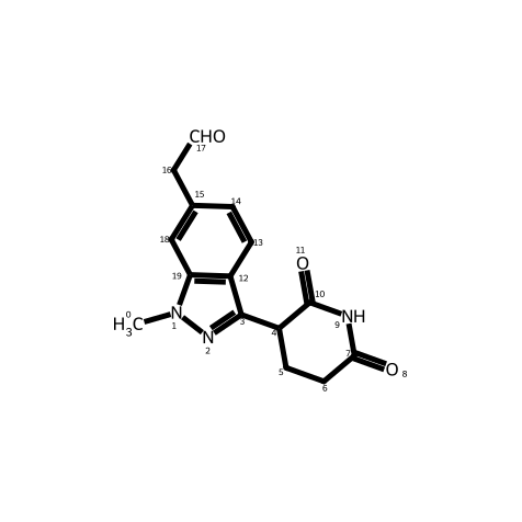 Cn1nc(C2CCC(=O)NC2=O)c2ccc(CC=O)cc21